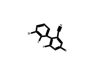 N#Cc1cc(F)cc(F)c1-c1cccc(Br)c1F